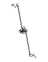 CCCCCCCCCCCCCCCCCC(=O)OP(=O)([O-])OC(=O)CCCCCCCCCCCCCCCCC.[Na+]